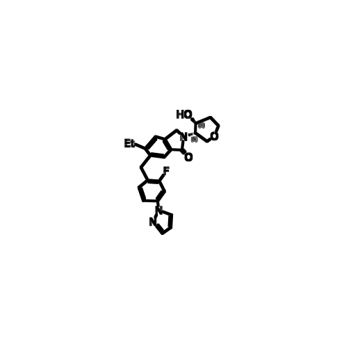 CCc1cc2c(cc1Cc1ccc(-n3cccn3)cc1F)C(=O)N([C@H]1COCC[C@@H]1O)C2